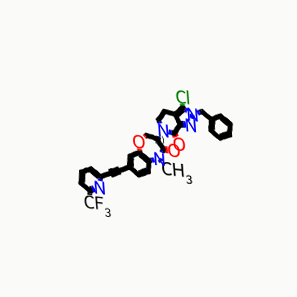 CN1C(=O)[C@H](N2CCc3c(nn(Cc4ccccc4)c3Cl)C2=O)COc2cc(C#Cc3cccc(C(F)(F)F)n3)ccc21